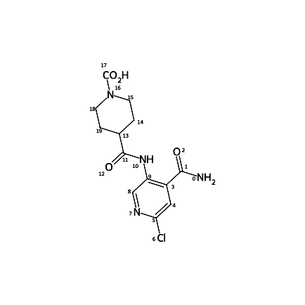 NC(=O)c1cc(Cl)ncc1NC(=O)C1CCN(C(=O)O)CC1